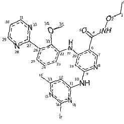 CCONC(=O)c1cnc(Nc2cc(C)nc(C)n2)cc1Nc1cccc(-c2ncccn2)c1OC